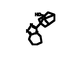 OC12CC3CC(C1)CC(c1nnc4n1CCCCC4)(C3)C2